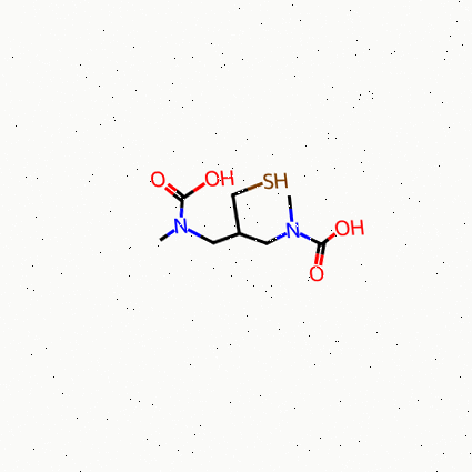 CN(CC(CS)CN(C)C(=O)O)C(=O)O